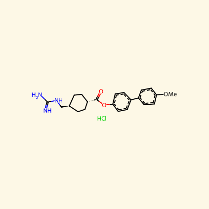 COc1ccc(-c2ccc(OC(=O)[C@H]3CC[C@H](CNC(=N)N)CC3)cc2)cc1.Cl